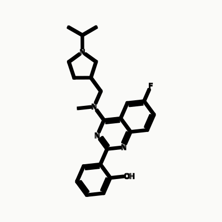 CC(C)N1CCC(CN(C)c2nc(-c3ccccc3O)nc3ccc(F)cc23)C1